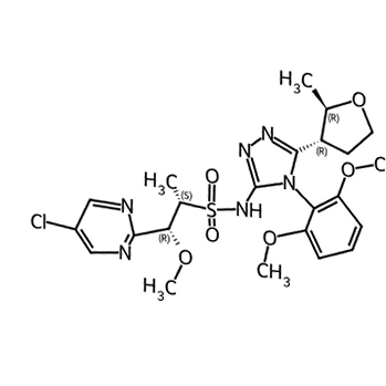 COc1cccc(OC)c1-n1c(NS(=O)(=O)[C@@H](C)[C@H](OC)c2ncc(Cl)cn2)nnc1[C@H]1CCO[C@@H]1C